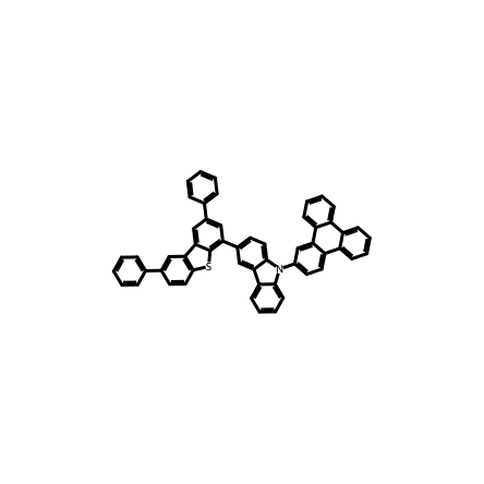 c1ccc(-c2ccc3sc4c(-c5ccc6c(c5)c5ccccc5n6-c5ccc6c7ccccc7c7ccccc7c6c5)cc(-c5ccccc5)cc4c3c2)cc1